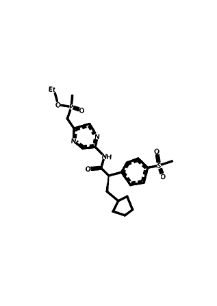 CCOP(C)(=O)Cc1cnc(NC(=O)[C@H](CC2CCCC2)c2ccc(S(C)(=O)=O)cc2)cn1